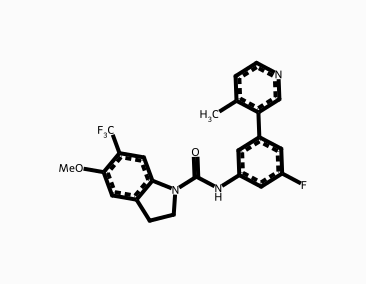 COc1cc2c(cc1C(F)(F)F)N(C(=O)Nc1cc(F)cc(-c3cnccc3C)c1)CC2